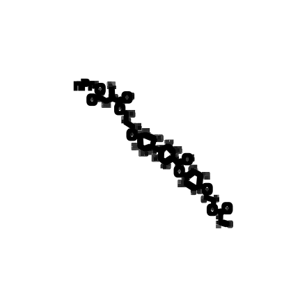 C=CC(=O)OCCOc1ccc(OC(=O)c2ccc(-c3ccc(OCCCOC(=O)C(=C)CC(=O)OCCC)cc3)cc2)cc1